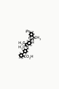 Cc1c(C)n(Cc2ccc(-c3ccccc3C(=O)O)cc2)c2ccc(C(=O)N[C@@H](C)c3ccc(C(C)C)cc3)cc12